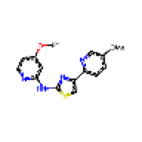 COc1ccc(-c2csc(Nc3cc(OC(C)C)ccn3)n2)nc1